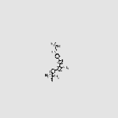 CNCCNc1ccc(-c2nnc(-c3nc(-c4ccnc(C(C)(C)C#N)c4)cnc3N)o2)cc1